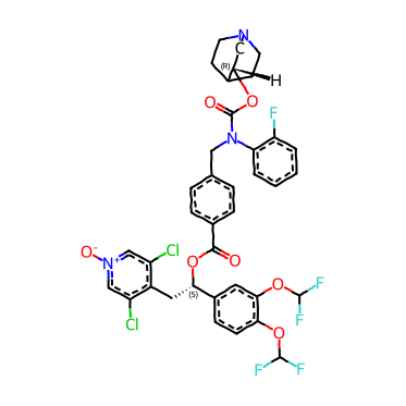 O=C(O[C@@H](Cc1c(Cl)c[n+]([O-])cc1Cl)c1ccc(OC(F)F)c(OC(F)F)c1)c1ccc(CN(C(=O)O[C@H]2CN3CCC2CC3)c2ccccc2F)cc1